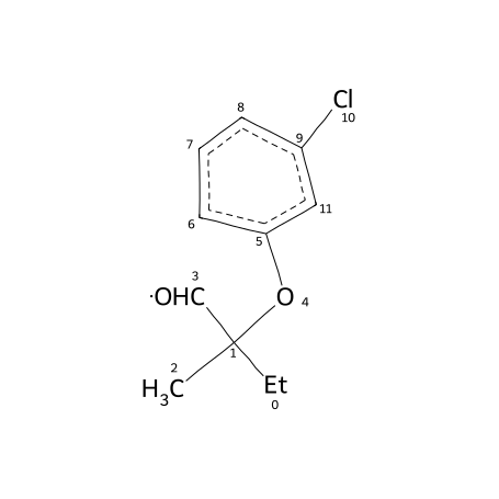 CCC(C)([C]=O)Oc1cccc(Cl)c1